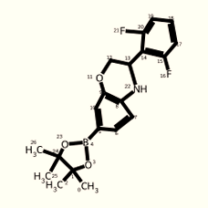 CC1(C)OB(c2ccc3c(c2)OCC(c2c(F)cccc2F)N3)OC1(C)C